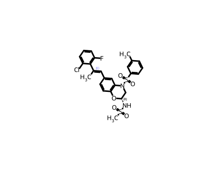 C/C(=C\c1ccc2c(c1)N(S(=O)(=O)c1cccc(C)c1)C[C@H](NS(C)(=O)=O)O2)c1c(F)cccc1Cl